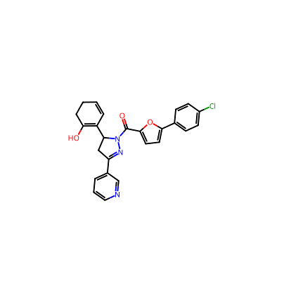 O=C(c1ccc(-c2ccc(Cl)cc2)o1)N1N=C(c2cccnc2)CC1C1=C(O)CCC=C1